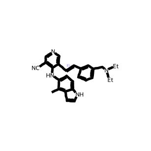 CCN(CC)Cc1cccc(/C=C/c2cncc(C#N)c2Nc2ccc3[nH]ccc3c2C)c1